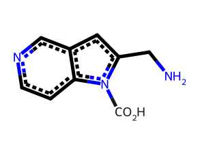 NCc1cc2cnccc2n1C(=O)O